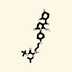 CC(C)C[C@H](NCCCOc1ccc(-n2c(N)c(C(=O)c3ccc(F)cc3F)ccc2=O)cc1)C(=O)OC(C)(C)C